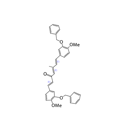 COc1ccc(/C=C/C(=O)/C=C(C)/C=C/c2ccc(OC)c(OCc3ccccc3)c2)cc1OCc1ccccc1